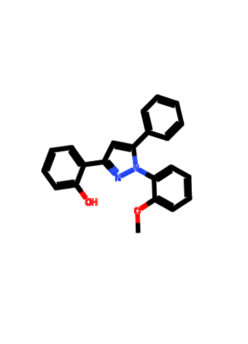 COc1ccccc1-n1nc(-c2ccccc2O)cc1-c1ccccc1